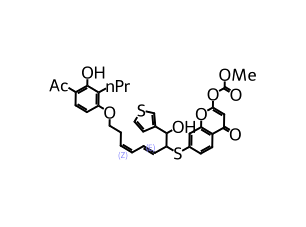 CCCc1c(OCC/C=C\C=C\C(Sc2ccc3c(=O)cc(OC(=O)OC)oc3c2)C(O)c2ccsc2)ccc(C(C)=O)c1O